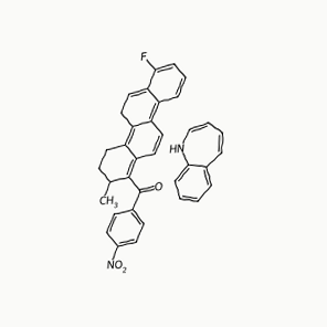 C1=CNc2ccccc2C=C1.CC1CCc2c3c(ccc2=C1C(=O)c1ccc([N+](=O)[O-])cc1)=c1cccc(F)c1=CC3